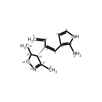 C=C/C(=C\c1cc[nH]c1N)[C@@H]1C(C)=NOC1C